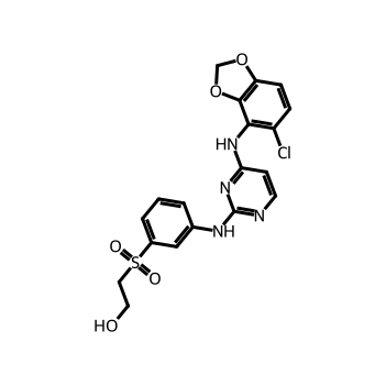 O=S(=O)(CCO)c1cccc(Nc2nccc(Nc3c(Cl)ccc4c3OCO4)n2)c1